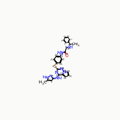 Cc1cc(Nc2nc(Sc3ccc(NC(=O)CNC(C)c4ccccc4)cc3)nn3cccc23)n[nH]1